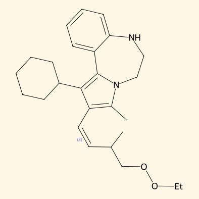 CCOOCC(C)/C=C\c1c(C2CCCCC2)c2n(c1C)CCNc1ccccc1-2